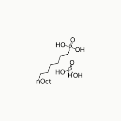 CCCCCCCCCCCCCCP(=O)(O)O.O=[PH](O)O